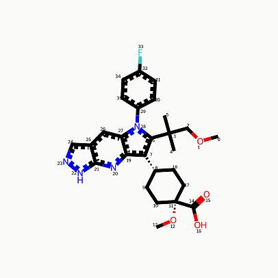 COCC(C)(C)c1c([C@H]2CC[C@](OC)(C(=O)O)CC2)c2nc3[nH]ncc3cc2n1-c1ccc(F)cc1